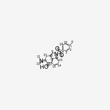 Cc1ccc(S(=O)(=O)n2cc3c4c(cccc42)C(O)C(N(C)C)C3)cc1